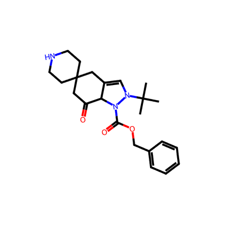 CC(C)(C)N1C=C2CC3(CCNCC3)CC(=O)C2N1C(=O)OCc1ccccc1